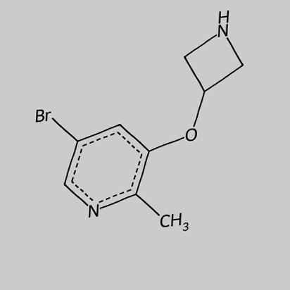 Cc1ncc(Br)cc1OC1CNC1